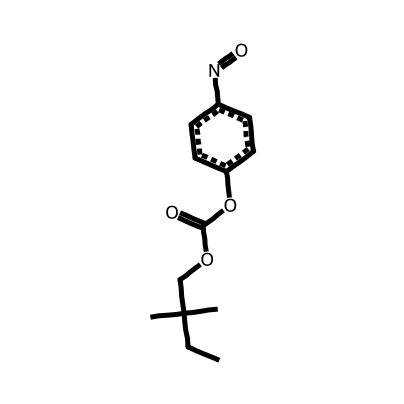 CCC(C)(C)COC(=O)Oc1ccc(N=O)cc1